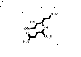 CCCCCCCCCCCCN(CCCCCCCCCCCC)NC(CCC(N)=O)C(=O)O.[NaH]